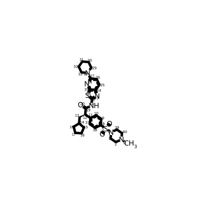 CN1CCN(S(=O)(=O)c2ccc([C@@H](CC3CCCC3)C(=O)Nc3nc4ccc(N5CCCCC5)nc4s3)cc2)CC1